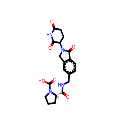 O=C1CCC(N2Cc3cc(CNC(=O)[C@@H]4CCCN4C(=O)O)ccc3C2=O)C(=O)N1